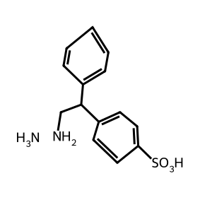 N.NCC(c1ccccc1)c1ccc(S(=O)(=O)O)cc1